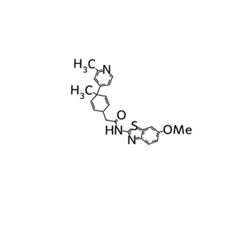 COc1ccc2nc(NC(=O)CC3C=CC(C)(c4ccnc(C)c4)C=C3)sc2c1